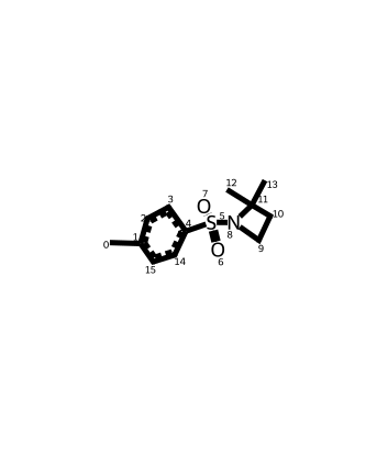 Cc1ccc(S(=O)(=O)N2CCC2(C)C)cc1